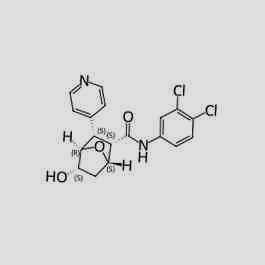 O=C(Nc1ccc(Cl)c(Cl)c1)[C@H]1[C@@H](c2ccncc2)[C@H]2O[C@H]1C[C@@H]2O